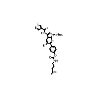 CCCCCCn1nc(NC(=O)c2cnsc2)c2cc(Br)c(-c3ccc(OC(=O)NCCCN(C)C)cc3)nc21